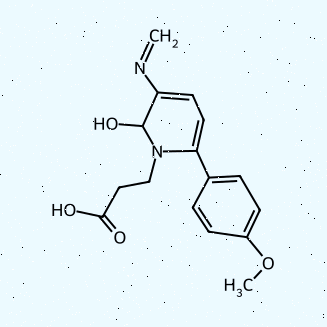 C=NC1=CC=C(c2ccc(OC)cc2)N(CCC(=O)O)C1O